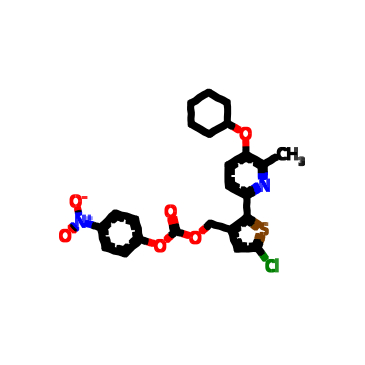 Cc1nc(-c2sc(Cl)cc2COC(=O)Oc2ccc([N+](=O)[O-])cc2)ccc1OC1CCCCC1